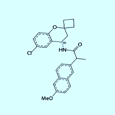 COc1ccc2cc(C(C)C(=O)N[C@H]3CC4(CCC4)Oc4ccc(Cl)cc43)ccc2c1